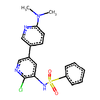 CN(C)c1ccc(-c2cnc(Cl)c(NS(=O)(=O)c3ccccc3)c2)cn1